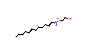 CCCCCCCCCCCCNOCC[O]